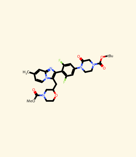 COC(=O)N1CCOC(Cc2c(-c3c(F)cc(N4CCN(C(=O)OC(C)(C)C)CC4=O)cc3F)nc3cc(C)ccn23)C1